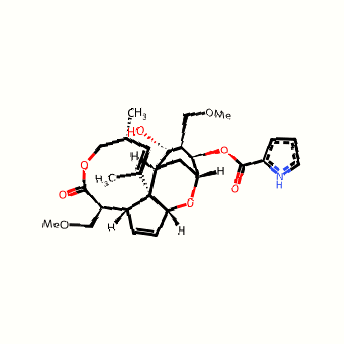 COC[C@@H]1[C@@H](O)[C@@H]2C[C@@H](O[C@@H]3C=C[C@@H]4[C@@H](COC)C(=O)OC[C@H](C)/C=C(\C)[C@@]432)[C@@H]1OC(=O)c1ccc[nH]1